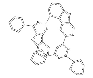 c1ccc(-c2cc(-c3ccc4oc5cccc(-c6nc(-c7ccccc7)c7sc8ccccc8c7n6)c5c4c3)nc(-c3ccccc3)n2)cc1